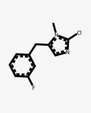 Cn1c([CH]c2cccc(F)c2)cnc1Cl